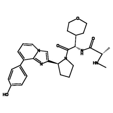 CN[C@@H](C)C(=O)N[C@H](C(=O)N1CCC[C@H]1c1cn2cccc(-c3ccc(O)cc3)c2n1)C1CCOCC1